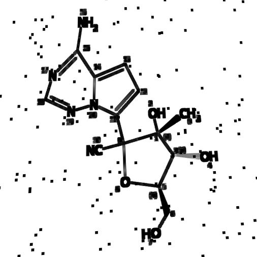 C[C@@]1(O)[C@H](O)[C@@H](CO)OC1(C#N)c1ccc2c(N)ncnn12